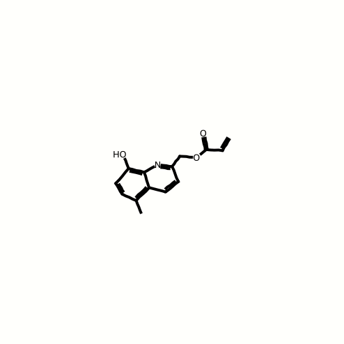 C=CC(=O)OCc1ccc2c(C)ccc(O)c2n1